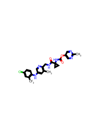 Cc1ncc(OC(=O)NC2(C(=O)NCc3ncc(Nc4ccc(Cl)cc4C(F)(F)F)cc3C)CC2)cn1